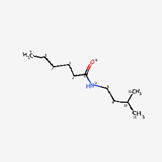 CCCCCC(=O)NCCC(C)C